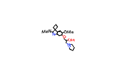 CNC1=Nc2cc(OC[C@H](O)CN3CCCC3)c(OC)cc2C12CCC2